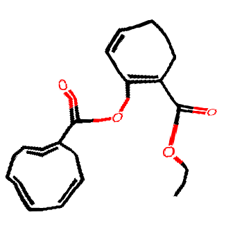 CCOC(=O)C1=C(OC(=O)c2ccccc2)C=CCC1